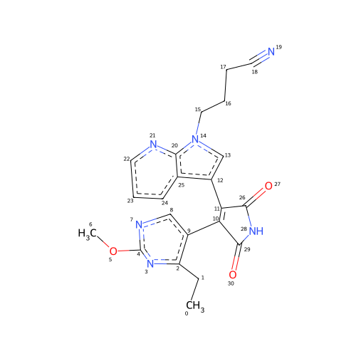 CCc1nc(OC)ncc1C1=C(c2cn(CCCC#N)c3ncccc23)C(=O)NC1=O